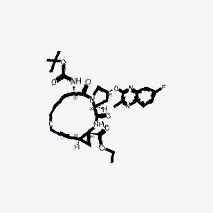 CCOC(=O)[C@@]12C[C@H]1/C=C\CCCCC[C@H](NC(=O)OC(C)(C)C)C(=O)N1C[C@H](Oc3nc4cc(F)ccc4nc3C)C[C@H]1C(=O)N2